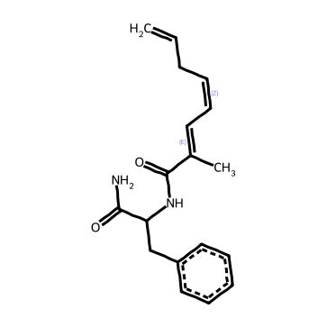 C=CC/C=C\C=C(/C)C(=O)NC(Cc1ccccc1)C(N)=O